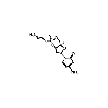 C=CCOP1(=S)OC[C@H]2O[C@@H](n3ccc(N)nc3=O)CC2O1